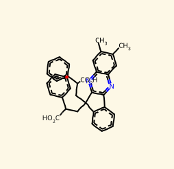 Cc1cc2nc3c(nc2cc1C)C(CC(C(=O)O)c1ccccc1)(CC(C(=O)O)c1ccccc1)c1ccccc1-3